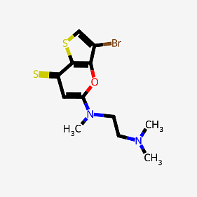 CN(C)CCN(C)c1cc(=S)c2scc(Br)c2o1